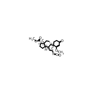 COC(=O)[C@H]1CC[C@H]2[C@H](CCN=C=O)[C@@H]([C@@]3(C)CCC(=O)C=C3OC)CC[C@]12C